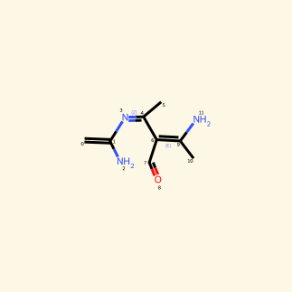 C=C(N)/N=C(C)\C(C=O)=C(\C)N